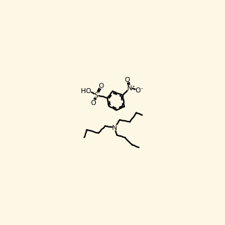 CCCCN(CCCC)CCCC.O=[N+]([O-])c1cccc(S(=O)(=O)O)c1